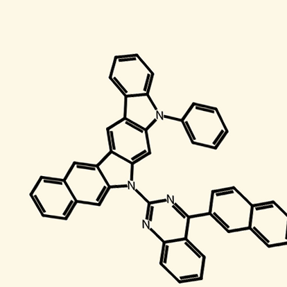 c1ccc(-n2c3ccccc3c3cc4c5cc6ccccc6cc5n(-c5nc(-c6ccc7ccccc7c6)c6ccccc6n5)c4cc32)cc1